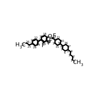 CCCCCC1CCC(C2CCC(C(F)(F)Oc3ccc(-c4ccc(CCC)cc4)c(F)c3F)CC2)CC1